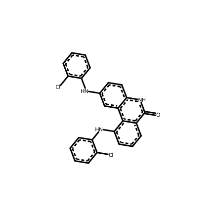 O=c1[nH]c2ccc(Nc3ccccc3Cl)cc2c2c(Nc3ccccc3Cl)cccc12